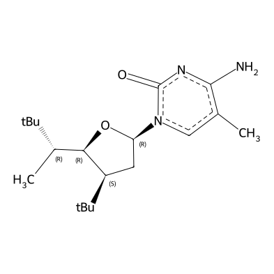 Cc1cn([C@H]2C[C@@H](C(C)(C)C)[C@@H]([C@H](C)C(C)(C)C)O2)c(=O)nc1N